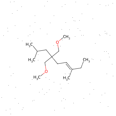 CCC(C)=CCC(COC)(COC)CC(C)C